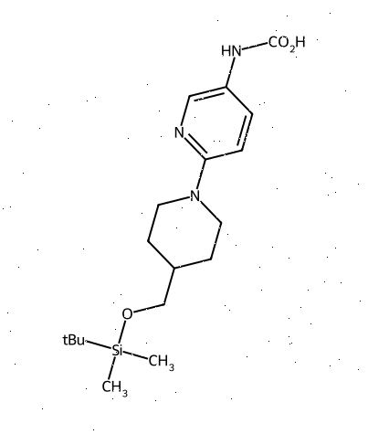 CC(C)(C)[Si](C)(C)OCC1CCN(c2ccc(NC(=O)O)cn2)CC1